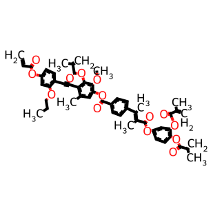 C=CC(=O)Oc1ccc(C#Cc2c(C)cc(OC(=O)c3ccc(/C(C)=C(\C)C(=O)Oc4ccc(OC(=O)C(=C)C)c(OC(=O)C(=C)C)c4)cc3)c(OC)c2OC(=O)C(=C)C)c(OCCC)c1